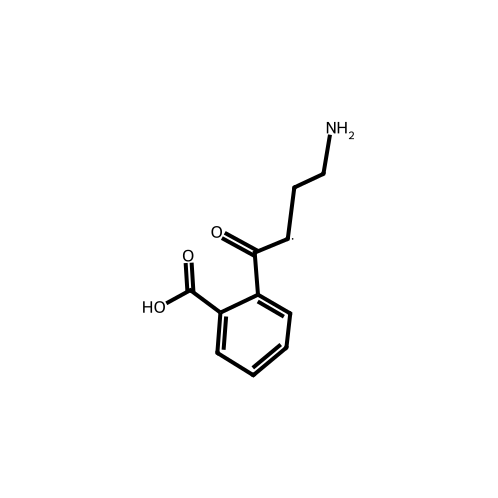 NCC[CH]C(=O)c1ccccc1C(=O)O